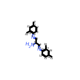 Cc1ccc(N=CC(N)C=Nc2ccc(C)cc2C)c(C)c1